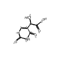 O=C1[N]C=C(C(O)C(=O)O)C(=O)N1